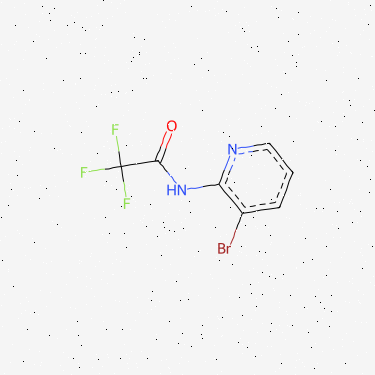 O=C(Nc1ncccc1Br)C(F)(F)F